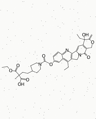 C=C1OCc2c(cc3n(c2=O)Cc2c-3nc3ccc(OC(=O)N4CCC(CCC(C)(C(=O)O)C(=O)OCC)CC4)cc3c2CC)C1(O)CC